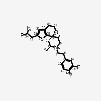 C[C@H]1C[C@@]2(CCN1CCc1ccc(F)c(F)c1)OCCc1cc(CC(F)F)sc12